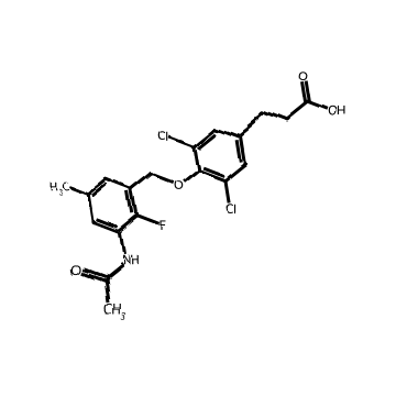 CC(=O)Nc1cc(C)cc(COc2c(Cl)cc(CCC(=O)O)cc2Cl)c1F